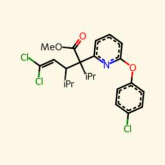 COC(=O)C(c1cccc(Oc2ccc(Cl)cc2)n1)(C(C)C)C(C=C(Cl)Cl)C(C)C